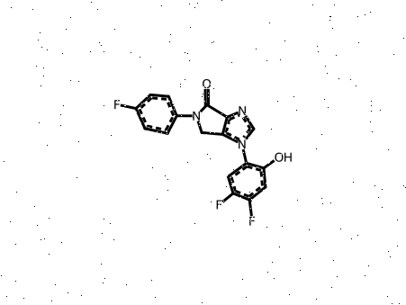 O=C1c2ncn(-c3cc(F)c(F)cc3O)c2CN1c1ccc(F)cc1